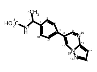 CC(NC(=O)O)c1ccc(-c2cnc3ccnn3c2)cc1